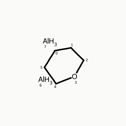 C1CCOCC1.[AlH3].[AlH3]